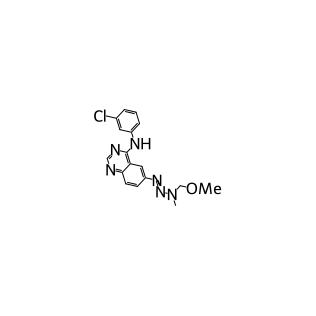 COCN(C)/N=N/c1ccc2ncnc(Nc3cccc(Cl)c3)c2c1